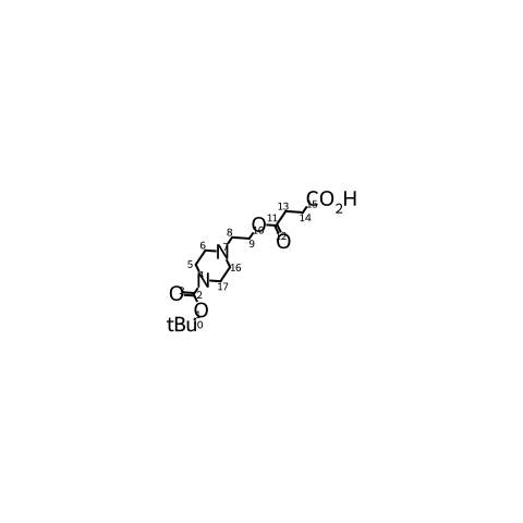 CC(C)(C)OC(=O)N1CCN(CCOC(=O)CCC(=O)O)CC1